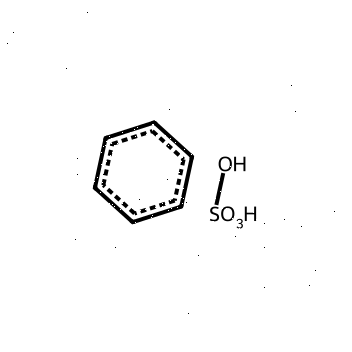 O=S(=O)(O)O.c1ccccc1